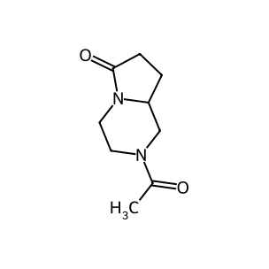 CC(=O)N1CCN2C(=O)CCC2C1